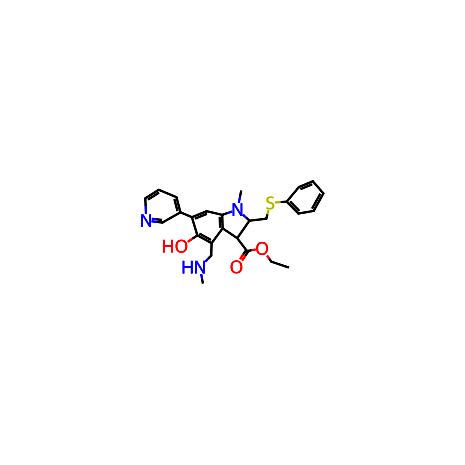 CCOC(=O)C1c2c(cc(-c3cccnc3)c(O)c2CNC)N(C)C1CSc1ccccc1